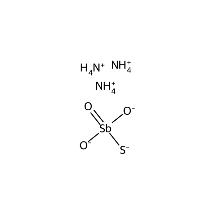 [NH4+].[NH4+].[NH4+].[O]=[Sb]([O-])([O-])[S-]